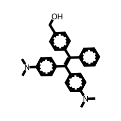 CN(C)c1ccc(C(=C(c2ccccc2)c2ccc(CO)cc2)c2ccc(N(C)C)cc2)cc1